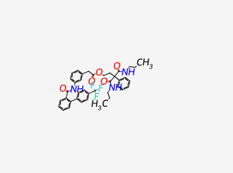 CCCNC(=O)C(CCOC(=O)Cc1cccc(NC(=O)c2ccccc2-c2ccc(C(F)(F)F)cc2)c1)(C(=O)NCCC)c1ccccc1